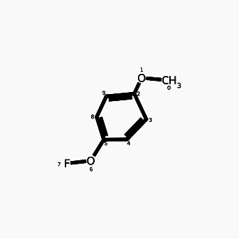 COc1ccc(OF)cc1